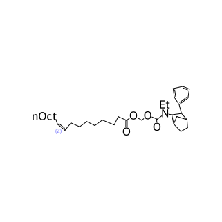 CCCCCCCC/C=C\CCCCCCCC(=O)OCOC(=O)N(CC)C1C2CCC(C2)C1c1ccccc1